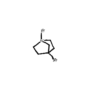 CC(C)C12CC[N+](C(C)C)(CC1)C2